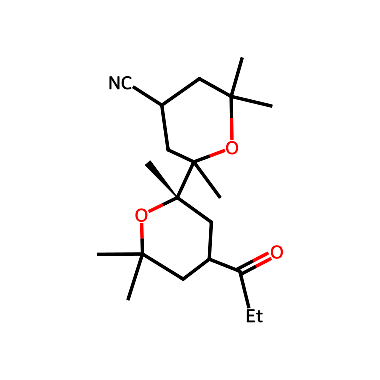 CCC(=O)C1CC(C)(C)O[C@](C)(C2(C)CC(C#N)CC(C)(C)O2)C1